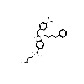 CN(C)c1ccc(Cc2nc3cc(C(=O)NCCC(=O)O)ccc3n2CCCCc2ccccc2)cc1